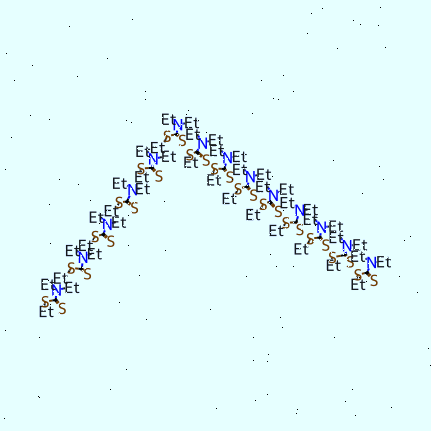 CCSC(=S)N(CC)CC.CCSC(=S)N(CC)CC.CCSC(=S)N(CC)CC.CCSC(=S)N(CC)CC.CCSC(=S)N(CC)CC.CCSC(=S)N(CC)CC.CCSC(=S)N(CC)CC.CCSC(=S)N(CC)CC.CCSC(=S)N(CC)CC.CCSC(=S)N(CC)CC.CCSC(=S)N(CC)CC.CCSC(=S)N(CC)CC.CCSC(=S)N(CC)CC.CCSC(=S)N(CC)CC